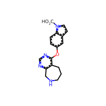 O=C(O)n1ccc2cc(Oc3ncnc4c3CCCNC4)ccc21